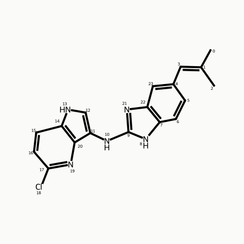 CC(C)=Cc1ccc2[nH]c(Nc3c[nH]c4ccc(Cl)nc34)nc2c1